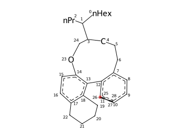 CCCCCCC(CCC)C1CCCc2ccc3c(c2-c2c(ccc4c2CCCC4)OC1)CCCC3